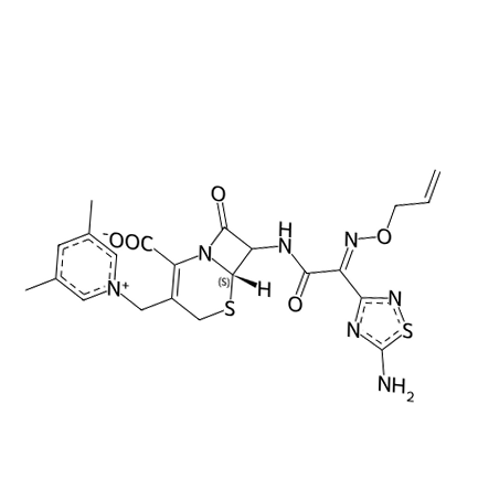 C=CCON=C(C(=O)NC1C(=O)N2C(C(=O)[O-])=C(C[n+]3cc(C)cc(C)c3)CS[C@@H]12)c1nsc(N)n1